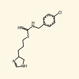 N=C(NCc1ccc(Cl)cc1)SCCCC1CNC=N1